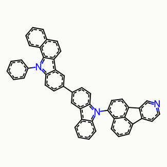 c1ccc(-n2c3ccc(-c4ccc5c(c4)c4ccccc4n5-c4ccc5c6c(cccc46)-c4ccncc4-5)cc3c3ccc4ccccc4c32)cc1